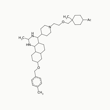 CC(=O)C1CCC(C)(COCCN2CCC(C3NC(C)NC4C5CCC(OCc6ccc(C)cc6)CC5CCC34)CC2)CC1